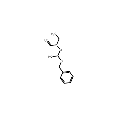 C=CN(CC)NC(O)OCc1ccccc1